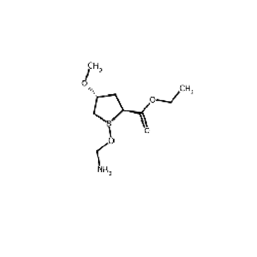 CCOC(=O)[C@@H]1C[C@@H](OC)CB1OCN